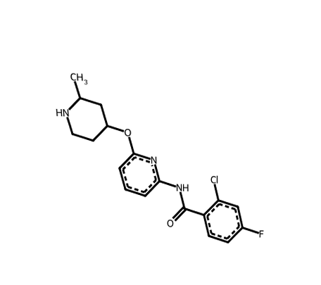 CC1CC(Oc2cccc(NC(=O)c3ccc(F)cc3Cl)n2)CCN1